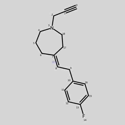 C#CCN1CCC/C(=C/Cc2ccc(F)cc2)CC1